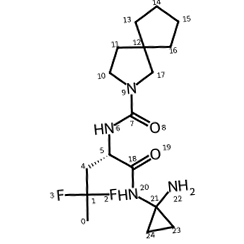 CC(F)(F)C[C@H](NC(=O)N1CCC2(CCCC2)C1)C(=O)NC1(N)CC1